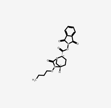 CCCCON1C(=O)N2C[C@@H]1CC[C@H]2C(=O)ON1C(=O)c2ccccc2C1=O